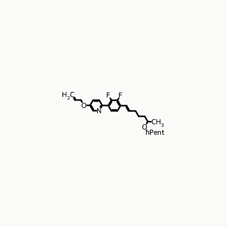 C=CCOc1ccc(-c2ccc(C=CCCCC(C)OCCCCC)c(F)c2F)nc1